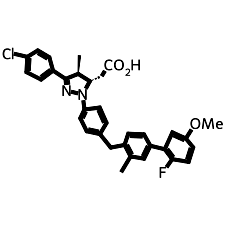 COc1ccc(F)c(-c2ccc(Cc3ccc(N4N=C(c5ccc(Cl)cc5)[C@@H](C)[C@@H]4CC(=O)O)cc3)c(C)c2)c1